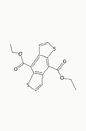 CCOC(=O)c1c2ccsc2c(C(=O)OCC)c2ccsc12